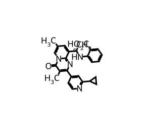 Cc1cc([C@@H](C)Nc2ccccc2C(=O)O)c2nc(-c3ccnc(C4CC4)c3)c(C)c(=O)n2c1